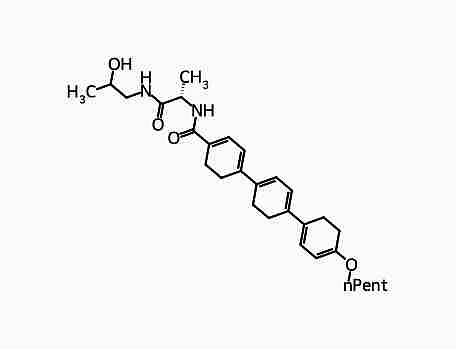 CCCCCOC1=CC=C(C2=CC=C(C3=CC=C(C(=O)N[C@@H](C)C(=O)NCC(C)O)CC3)CC2)CC1